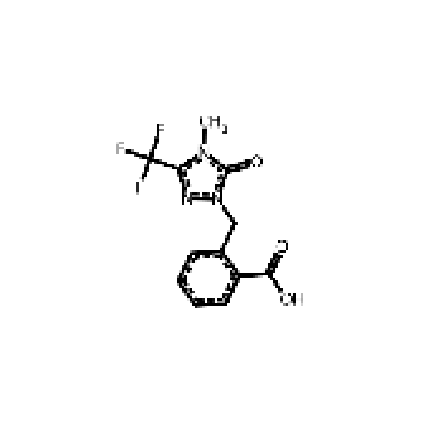 Cn1c(C(F)(F)F)nn(Cc2ccccc2C(=O)O)c1=O